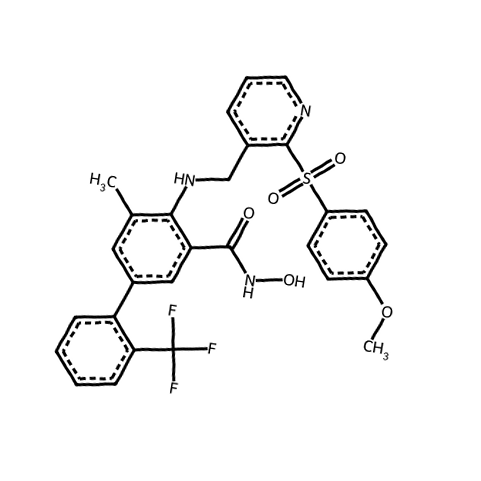 COc1ccc(S(=O)(=O)c2ncccc2CNc2c(C)cc(-c3ccccc3C(F)(F)F)cc2C(=O)NO)cc1